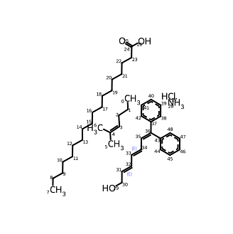 CCCC=C(C)C.CCCCCCCCCCCCCCCCCC(=O)O.Cl.N.OC/C=C/C=C/C=C(c1ccccc1)c1ccccc1